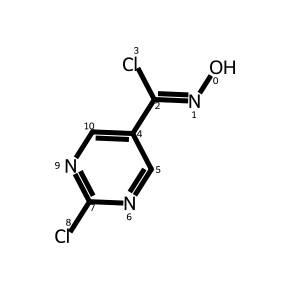 ON=C(Cl)c1cnc(Cl)nc1